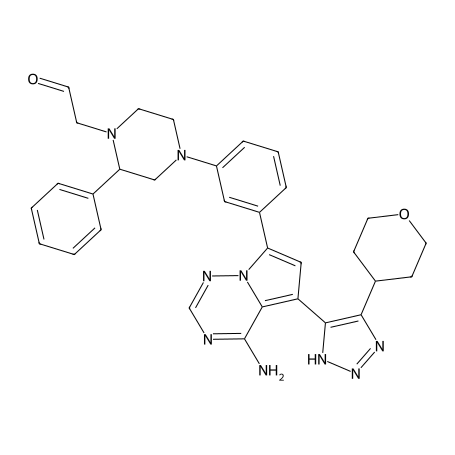 Nc1ncnn2c(-c3cccc(N4CCN(CC=O)C(c5ccccc5)C4)c3)cc(-c3[nH]nnc3C3CCOCC3)c12